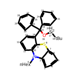 CCCCCCN1c2ccccc2Sc2c1cccc2C(O[SiH2]C(C)(C)C)(c1ccccc1)c1ccccc1